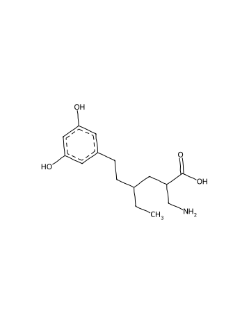 CCC(CCc1cc(O)cc(O)c1)CC(CN)C(=O)O